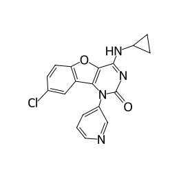 O=c1nc(NC2CC2)c2oc3ccc(Cl)cc3c2n1-c1cccnc1